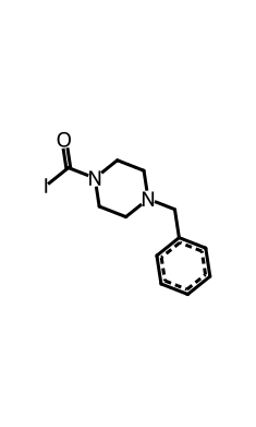 O=C(I)N1CCN(Cc2ccccc2)CC1